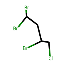 ClCC(Br)CC(Br)Br